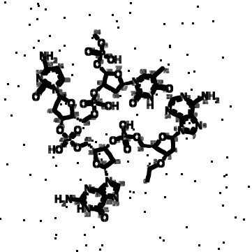 CCO[C@@H]1C[C@H](n2cnc3c(N)ncnc32)O[C@@H]1COP(=O)(O)O[C@@H]1C[C@H](n2cnc3c(=O)[nH]c(N)nc32)O[C@@H]1COP(=O)(O)O[C@@H]1C[C@H](n2ccc(N)nc2=O)O[C@@H]1COP(=O)(O)O[C@@H]1C[C@H](n2cc(C)c(=O)[nH]c2=O)O[C@@H]1OP(=O)(O)OC